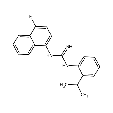 CC(C)c1ccccc1NC(=N)Nc1ccc(F)c2ccccc12